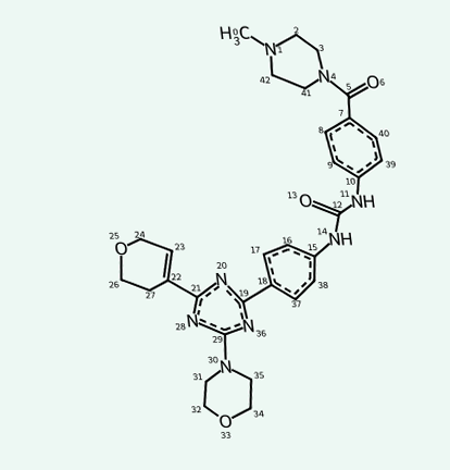 CN1CCN(C(=O)c2ccc(NC(=O)Nc3ccc(-c4nc(C5=CCOCC5)nc(N5CCOCC5)n4)cc3)cc2)CC1